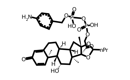 CCCC1O[C@@]2(C(=O)COP(=O)(O)OP(=O)(O)OCc3ccc(N)cc3)[C@@]3(C)C[C@H](O)[C@H]4[C@@H](CCC5=CC(=O)C=C[C@@]54C)[C@@H]3C[C@]2(C)O1